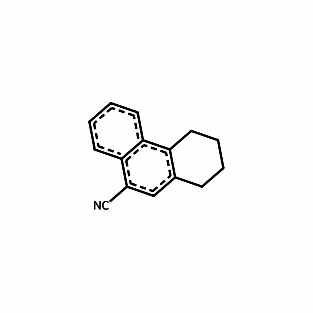 N#Cc1cc2c(c3ccccc13)CCCC2